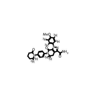 [2H]c1c([2H])c(-n2nc(C(N)=O)c3c2C(=O)N(c2ccc(N4C(=O)CCCC4([2H])[2H])cc2)C([2H])([2H])C3)c([2H])c([2H])c1OC